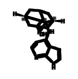 OC12CC3C[C@H](C1)[C@@H](Nc1ccnc4[nH]ccc14)[C@@H](C3)C2